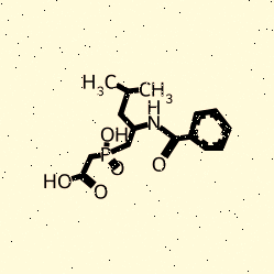 CC(C)CC(CP(=O)(O)CC(=O)O)NC(=O)c1ccccc1